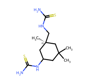 CC1(C)CC(NC(N)=S)C[C@@](C)(CNC(N)=S)C1